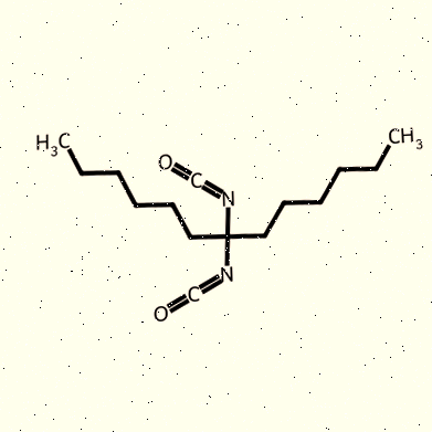 CCCCCCC(CCCCCC)(N=C=O)N=C=O